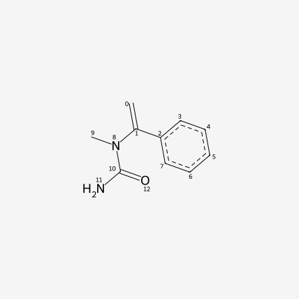 C=C(c1ccccc1)N(C)C(N)=O